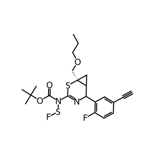 C#Cc1ccc(F)c(C2N=C(N(SF)C(=O)OC(C)(C)C)S[C@@]3(COCCC)CC23)c1